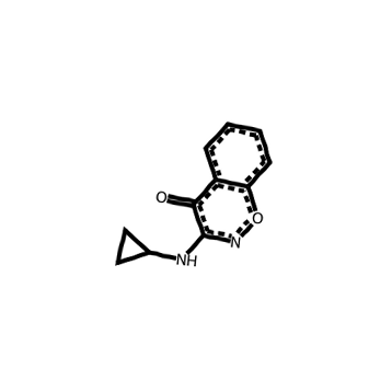 O=c1c(NC2CC2)noc2ccccc12